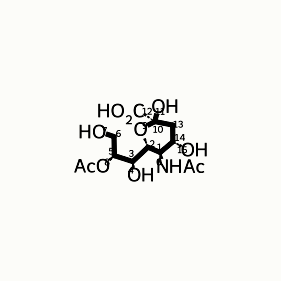 CC(=O)N[C@H]1[C@H]([C@H](O)[C@@H](CO)OC(C)=O)O[C@](O)(C(=O)O)C[C@@H]1O